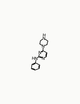 c1ccc(Nc2nccc(N3CCNCC3)n2)cc1